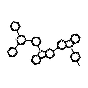 Cc1ccc(-n2c3ccccc3c3ccc(-c4ccc5c6ccccc6n(-c6cccc(-c7cc(-c8ccccc8)nc(-c8ccccc8)c7)c6)c5c4)cc32)cc1